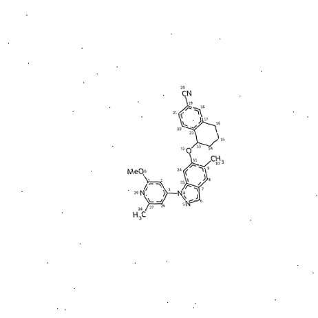 COc1cc(-n2ncc3cc(C)c(OC4CCCc5cc(C#N)ccc54)cc32)cc(C)n1